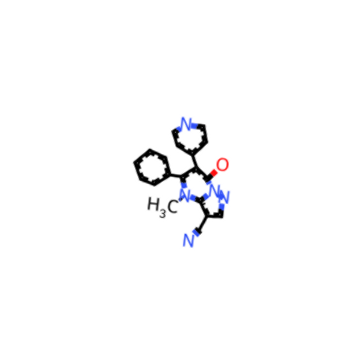 Cn1c(-c2ccccc2)c(-c2ccncc2)c(=O)n2ncc(C#N)c12